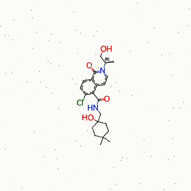 C[C@H](CO)n1ccc2c(C(=O)NCC3(O)CCC(C)(C)CC3)c(Cl)ccc2c1=O